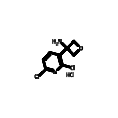 Cl.NC1(c2ccc(Cl)nc2Cl)COC1